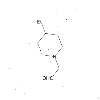 CCC1CCN(CC=O)CC1